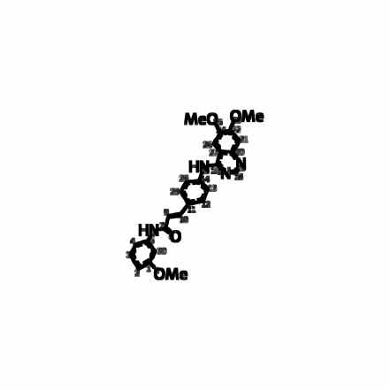 COc1cccc(NC(=O)C=Cc2ccc(Nc3ncnc4cc(OC)c(OC)cc34)cc2)c1